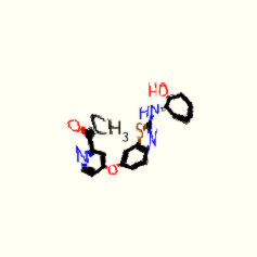 CC(=O)c1cc(Oc2ccc3nc(N[C@H]4CCCC[C@@H]4O)sc3c2)ccn1